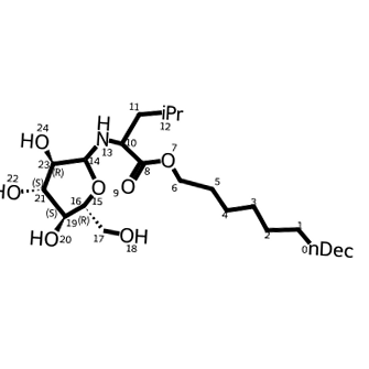 CCCCCCCCCCCCCCCCOC(=O)C(CC(C)C)NC1O[C@H](CO)[C@@H](O)[C@H](O)[C@H]1O